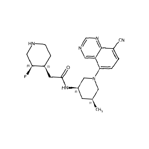 C[C@H]1C[C@@H](NC(=O)C[C@@H]2CCNC[C@@H]2F)CN(c2ccc(C#N)c3ncncc23)C1